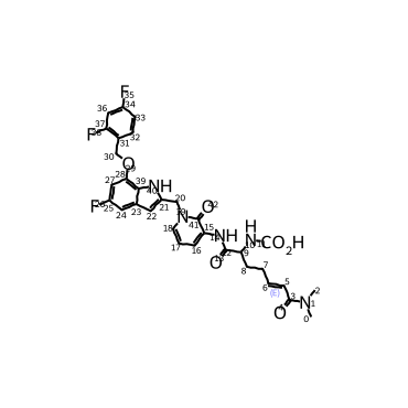 CN(C)C(=O)/C=C/CCC(NC(=O)O)C(=O)Nc1cccn(Cc2cc3cc(F)cc(OCc4ccc(F)cc4F)c3[nH]2)c1=O